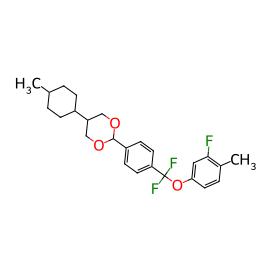 Cc1ccc(OC(F)(F)c2ccc(C3OCC(C4CCC(C)CC4)CO3)cc2)cc1F